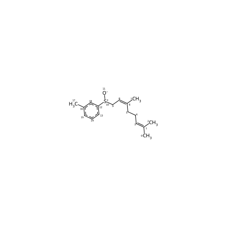 CC(C)=CCCC(C)=CC[S+]([O-])c1cccc(C)c1